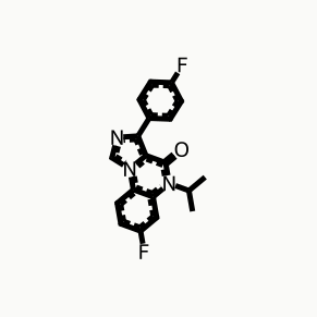 CC(C)n1c(=O)c2c(-c3ccc(F)cc3)ncn2c2ccc(F)cc21